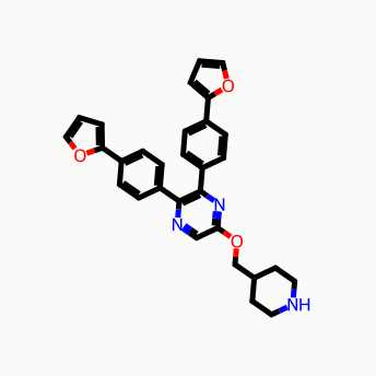 c1coc(-c2ccc(-c3ncc(OCC4CCNCC4)nc3-c3ccc(-c4ccco4)cc3)cc2)c1